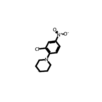 O=[N+]([O-])c1ccc(N2CC[CH]CC2)c(Cl)c1